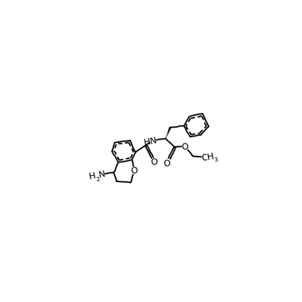 CCOC(=O)[C@H](Cc1ccccc1)NC(=O)c1cccc2c1OCCC2N